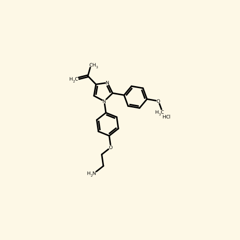 C=C(C)c1cn(-c2ccc(OCCN)cc2)c(-c2ccc(OC)cc2)n1.Cl